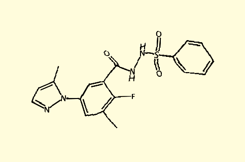 Cc1cc(-n2nccc2C)cc(C(=O)NNS(=O)(=O)c2ccccc2)c1F